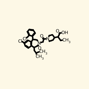 CCC(C(=O)O)C1CCN(C(=O)CN2CC(c3ccccc3Cl)c3cc(Cl)ccc3C(CC(C)C)C2=O)CC1